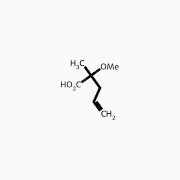 C=CCC(C)(OC)C(=O)O